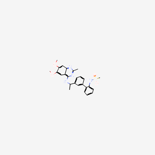 COc1cc2nc(C)nc(NC(C)c3cccc(-c4ccccc4NS(C)(=O)=O)c3)c2cc1OC